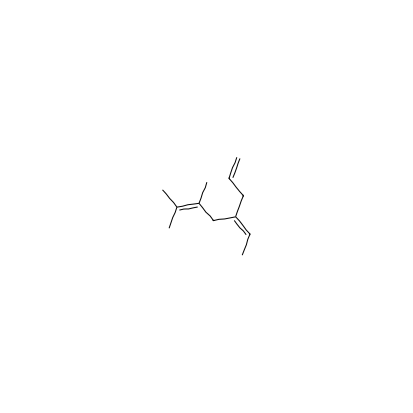 C=CC/C(=C/C)CC(C)=C(C)C